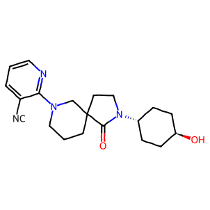 [C-]#[N+]c1cccnc1N1CCCC2(CCN([C@H]3CC[C@H](O)CC3)C2=O)C1